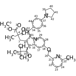 COC(=O)C(C)(C)Cc1c(C(=O)C(C)(C)C)c2cc(OCc3cccc(C)n3)ccn2c1C(=O)c1ccc(N2CCCC2)cc1